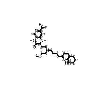 COCCN(CCCCc1ccc2c(n1)NCCC2)CC[C@H](Nc1cc(C(F)F)ncn1)C(=O)O